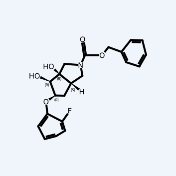 O=C(OCc1ccccc1)N1C[C@@H]2C[C@@H](Oc3ccccc3F)[C@@H](O)[C@]2(O)C1